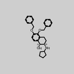 O[C@H]1c2ccc(OCc3ccccc3)c(OCc3ccccc3)c2CC[C@H]1NC1CCCC1